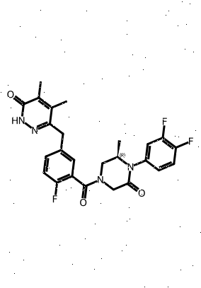 Cc1c(Cc2ccc(F)c(C(=O)N3CC(=O)N(c4ccc(F)c(F)c4)[C@H](C)C3)c2)n[nH]c(=O)c1C